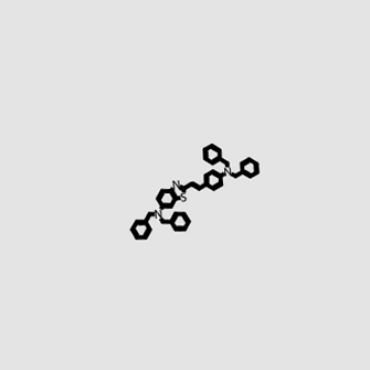 C(=Cc1nc2ccc(N(Cc3ccccc3)Cc3ccccc3)cc2s1)c1ccc(N(Cc2ccccc2)Cc2ccccc2)cc1